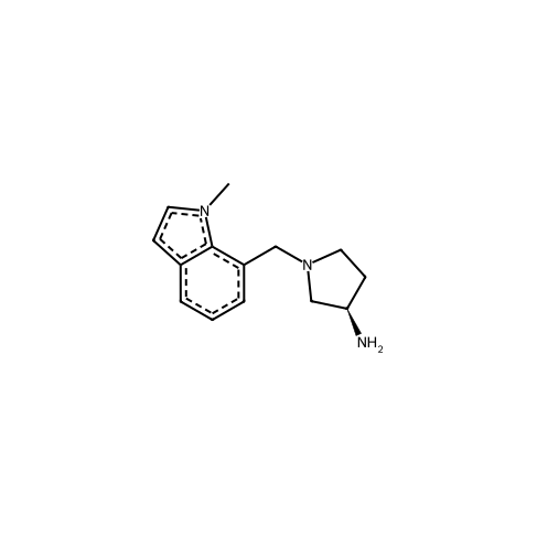 Cn1ccc2cccc(CN3CC[C@@H](N)C3)c21